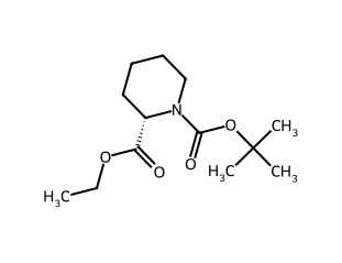 CCOC(=O)[C@@H]1CCCCN1C(=O)OC(C)(C)C